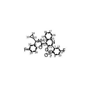 CS(=O)(=O)Oc1c(-c2cccc(F)c2)nc2ccccc2c1C(=O)NC(c1cccc(F)c1)C1CC1